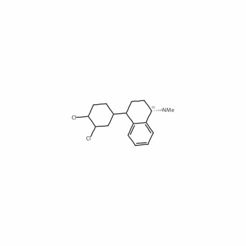 CN[C@H]1CCC(C2CCC(Cl)C(Cl)C2)c2ccccc21